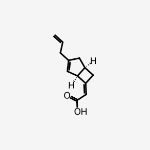 C=CCC1=C[C@@H]2/C(=C\C(=O)O)C[C@@H]2C1